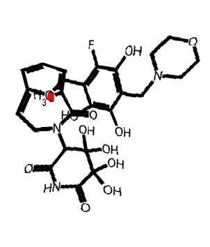 C\C1=C/C=C\C(OCc2c(O)c(O)c(CN3CCOCC3)c(O)c2F)=C\CN(C2C(=O)NC(=O)C(O)(O)C2(O)O)C1=O